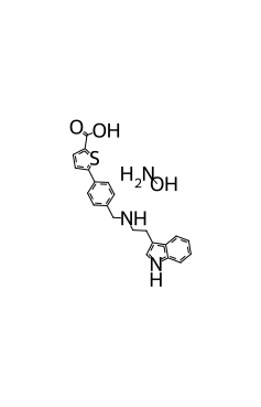 NO.O=C(O)c1ccc(-c2ccc(CNCCc3c[nH]c4ccccc34)cc2)s1